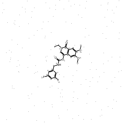 CCn1cc(OC(=O)NCc2cc(F)cc(F)c2)c2cc(OC)c(OC)cc2c1=O